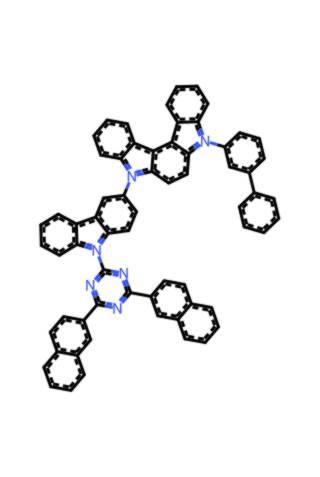 c1ccc(-c2cccc(-n3c4ccccc4c4c5c6ccccc6n(-c6ccc7c(c6)c6ccccc6n7-c6nc(-c7ccc8ccccc8c7)nc(-c7ccc8ccccc8c7)n6)c5ccc43)c2)cc1